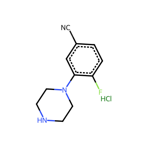 Cl.N#Cc1ccc(F)c(N2CCNCC2)c1